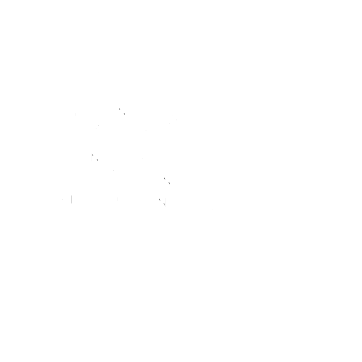 C#Cc1ccc(/N=N/C2C(=O)N(CC)C(=S)N(CC)C2=O)cc1